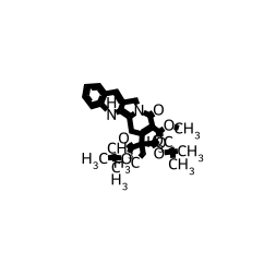 CCC(C(=O)OC(C)(C)C)(C(=O)OC(C)(C)C)C1=C(C(=O)OC)C(=O)N2CC3=Cc4ccccc4NC3=C2C1